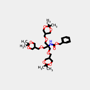 CC1(C)OCC(COCC(COCC2COC(C)(C)OC2)(COCC2COC(C)(C)OC2)NC(=O)OCc2ccccc2)CO1